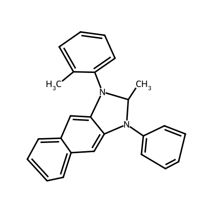 Cc1ccccc1N1c2cc3ccccc3cc2N(c2ccccc2)C1C